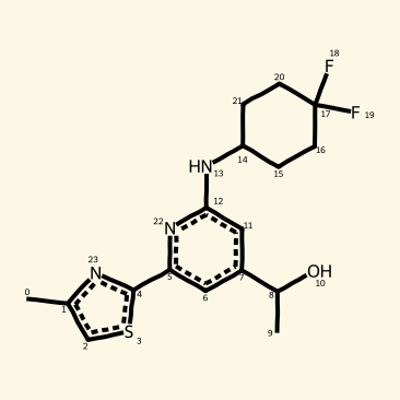 Cc1csc(-c2cc(C(C)O)cc(NC3CCC(F)(F)CC3)n2)n1